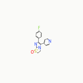 [O-][S+]1CCn2c1nc(-c1ccc(F)cc1)c2-c1ccncc1